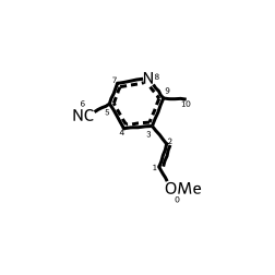 COC=Cc1cc(C#N)cnc1C